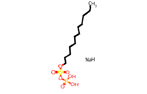 CCCCCCCCCCCCOS(=O)(=O)OP(=O)(O)O.[NaH]